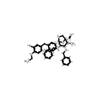 CCOc1ccc(Cc2cc([C@]34OC[C@](C=O)(O3)[C@@H](C)[C@H](OCc3ccccc3)[C@H]4OCc3ccccc3)ccc2Cl)cc1F